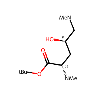 CNC[C@H](O)C[C@H](NC)C(=O)OC(C)(C)C